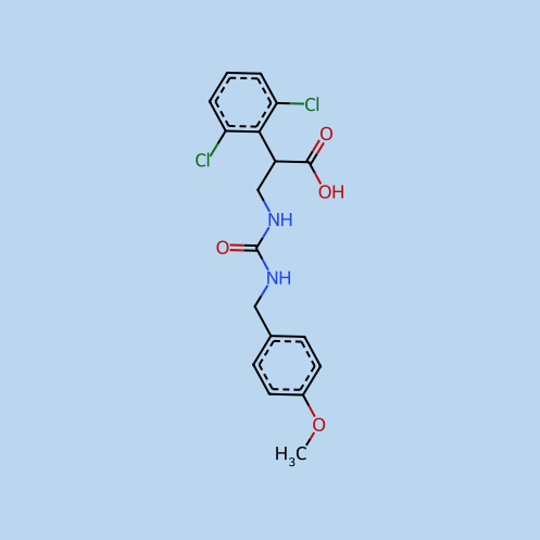 COc1ccc(CNC(=O)NCC(C(=O)O)c2c(Cl)cccc2Cl)cc1